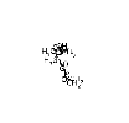 C=C(C)C(=O)OCCOC(=O)CCN(C)C1CC(C)(C)N(O)C(C)(C)C1